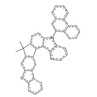 CC1(C)c2cc3oc4ccccc4c3cc2-c2c1ccc1c2c2ccccc2n1-c1cc2ccccc2c2ccccc12